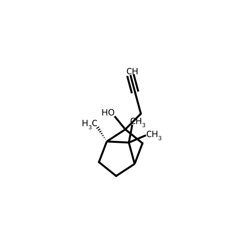 C#CCC1(O)CC2CC[C@]1(C)C2(C)C